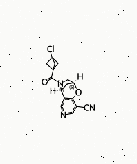 N#Cc1cncc2c1O[C@H]1C[C@@H]2N(C(=O)C23CC(Cl)(C2)C3)C1